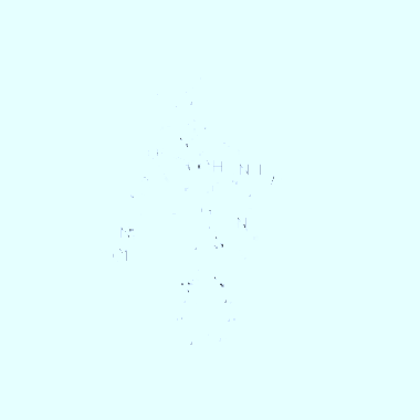 CC[C@H](C)[C@@H](C(=O)N[C@@H](Cc1ccccc1)C(O)CN(CC(C)(C)C)S(=O)(=O)c1ccc(/C=N/O)cc1)N1CCN(Cc2nc3ccccc3n2C)C1=O